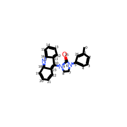 Cc1cccc(N2CCN(c3c4ccccc4nc4ccccc34)C2=O)c1